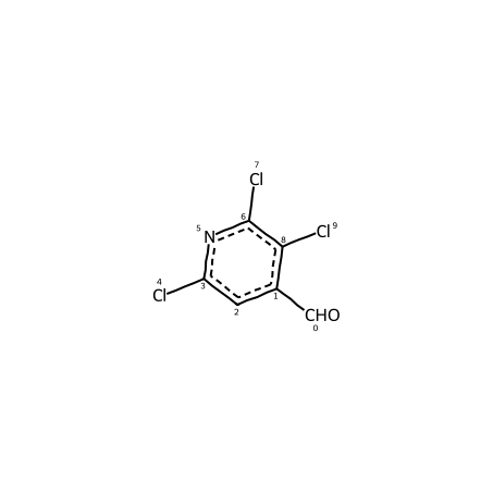 O=Cc1cc(Cl)nc(Cl)c1Cl